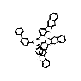 c1ccc(-c2cccc(-c3nc(-c4ccc5c(c4)oc4ccccc45)nc(-c4ccc5c(oc6cc7ccccc7cc65)c4-n4c5cc6ccccc6cc5c5cc6ccccc6cc54)n3)c2)cc1